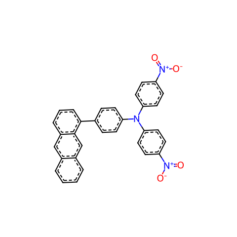 O=[N+]([O-])c1ccc(N(c2ccc(-c3cccc4cc5ccccc5cc34)cc2)c2ccc([N+](=O)[O-])cc2)cc1